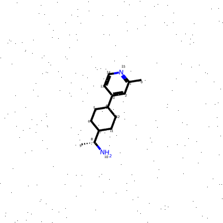 Cc1cc(C2CCC([C@@H](C)N)CC2)ccn1